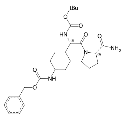 CC(C)(C)OC(=O)N[C@H](C(=O)N1CCC[C@H]1C(N)=O)C1CCC(NC(=O)OCc2ccccc2)CC1